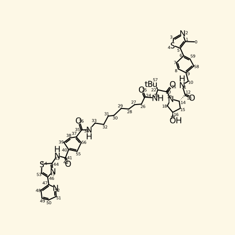 Cc1ncsc1-c1ccc(CNC(=O)[C@@H]2C[C@@H](O)CN2C(=O)[C@@H](NC(=O)CCCCCCCCNC(=O)c2ccc(C(=O)Nc3nc(-c4ccccn4)cs3)cc2)C(C)(C)C)cc1